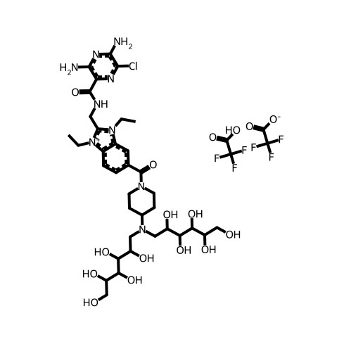 CCn1c(CNC(=O)c2nc(Cl)c(N)nc2N)[n+](CC)c2ccc(C(=O)N3CCC(N(CC(O)C(O)C(O)C(O)CO)CC(O)C(O)C(O)C(O)CO)CC3)cc21.O=C(O)C(F)(F)F.O=C([O-])C(F)(F)F